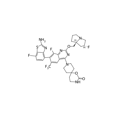 Nc1nc2c(-c3c(C(F)(F)F)cc4c(N5CCC6(CCNC(=O)O6)CC5)nc(OC[C@@]56CCCN5C[C@H](F)C6)nc4c3F)ccc(F)c2s1